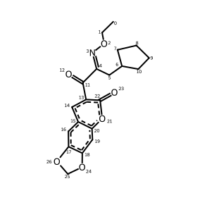 CCO/N=C(\CC1CCCC1)C(=O)c1cc2cc3c(cc2oc1=O)OCO3